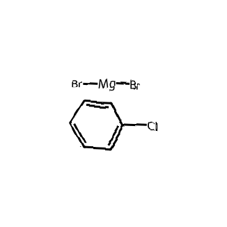 Clc1c[c]ccc1.[Br][Mg][Br]